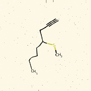 [C]#CCC(CCCC)SC